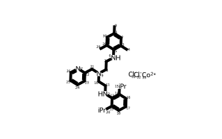 Cc1cc(C)c(NCCN(CCNc2c(C(C)C)cccc2C(C)C)Cc2ccccn2)c(C)c1.[Cl-].[Cl-].[Co+2]